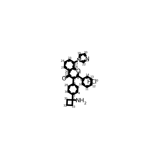 Cl.NC1(c2ccc(-c3c(-c4ccccc4)oc4c(-n5ccnc5)cccc4c3=O)cc2)CCC1